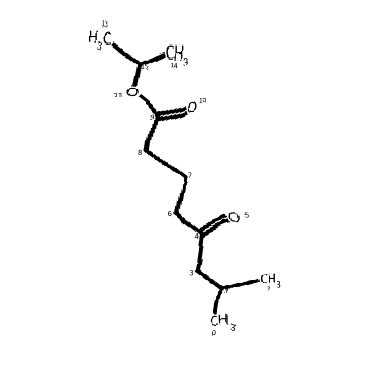 CC(C)CC(=O)CCCC(=O)OC(C)C